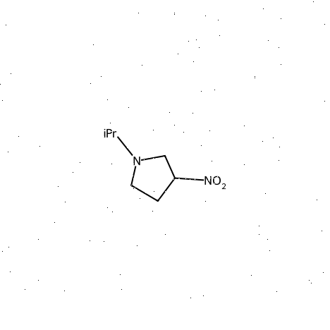 CC(C)N1CCC([N+](=O)[O-])C1